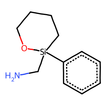 NC[Si]1(c2ccccc2)CCCCO1